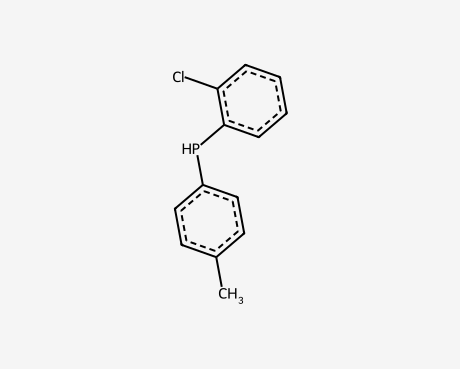 Cc1ccc(Pc2ccccc2Cl)cc1